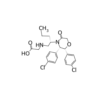 CCC[C@@H](CNCC(=O)O)N1C(=O)CO[C@H](c2ccc(Cl)cc2)[C@@H]1c1ccc(Cl)cc1